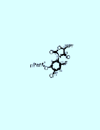 CCCCCOc1cc(N2C(=O)OC(C(C)C)C2=O)c(F)cc1Cl